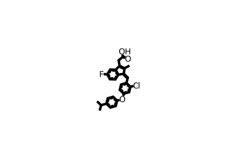 CC1=C(CC(=O)O)c2cc(F)ccc2/C1=C\c1ccc(Oc2ccc(C(C)C)cc2)cc1Cl